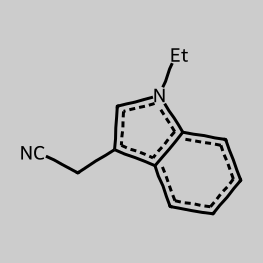 CCn1cc(CC#N)c2ccccc21